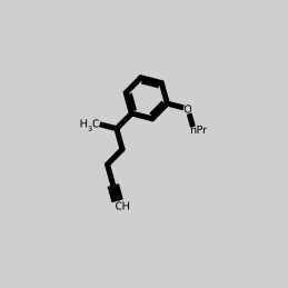 C#CCCC(C)c1cccc(OCCC)c1